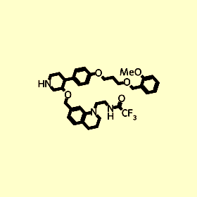 COc1ccccc1COCCCOc1ccc(C2CCNCC2OCc2ccc3c(c2)N(CCNC(=O)C(F)(F)F)CCC3)cc1